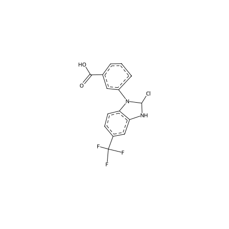 O=C(O)c1cccc(N2c3ccc(C(F)(F)F)cc3NC2Cl)c1